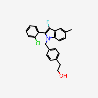 Cc1ccc2c(c1)c(F)c(-c1ccccc1Cl)n2Cc1ccc(CCO)cc1